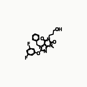 Cn1c(=O)n(CCCO)c(=O)c2c1nc(Oc1cc(F)cc(F)c1)n2Cc1ccccc1